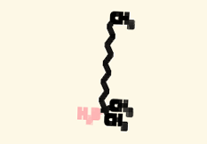 BC(C)(C)CCCCCCCCCC